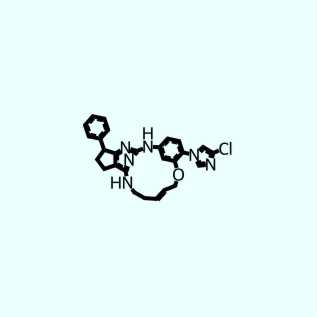 Clc1cn(-c2ccc3cc2OC/C=C/CCNc2nc(nc4c2CCC4c2ccccc2)N3)cn1